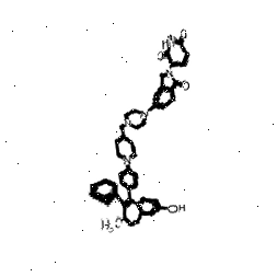 C[C@@H]1CCc2cc(O)ccc2C(c2ccc(N3CCC(CN4CCN(c5ccc6c(c5)CN([C@H]5CCC(=O)NC5=O)C6=O)CC4)CC3)cc2)=C1c1ccccc1